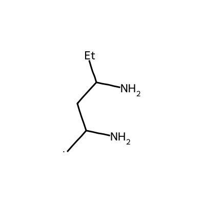 [CH2]CC(N)CC([CH2])N